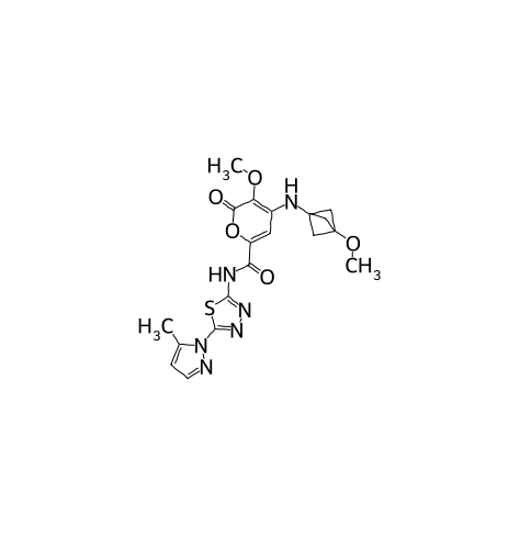 COc1c(NC23CC(OC)(C2)C3)cc(C(=O)Nc2nnc(-n3nccc3C)s2)oc1=O